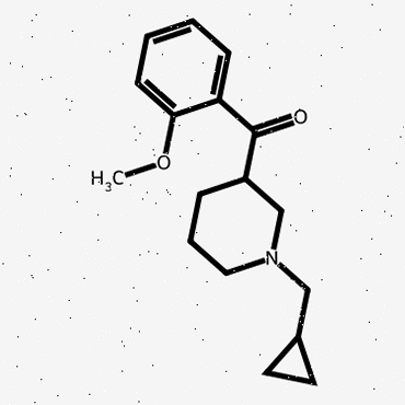 COc1ccccc1C(=O)C1CCCN(CC2CC2)C1